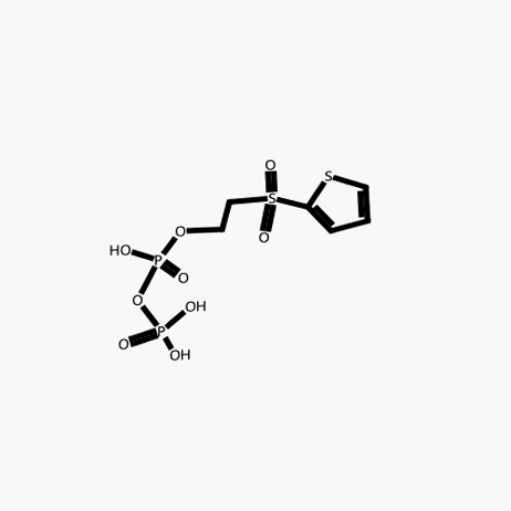 O=P(O)(O)OP(=O)(O)OCCS(=O)(=O)c1cccs1